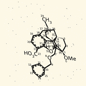 CO[C@]12CC[C@@]3(C[C@@H]1COCc1ccccc1)C1Cc4ccc(C(=O)O)c5c4[C@@]3(CCN1C)[C@H]2O5